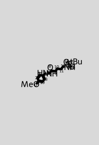 COc1ccc(NNC(=O)CCCCNS(=O)(=O)C(C)(C)C)cc1